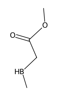 CBCC(=O)OC